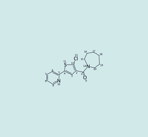 O=C(c1cc(-c2ccccn2)sc1Cl)N1CCCCCC1